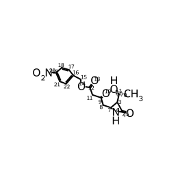 C[C@@H](O)C1C(=O)NC1CC(=O)CC(=O)OCc1ccc([N+](=O)[O-])cc1